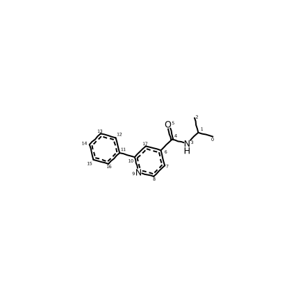 CC(C)NC(=O)c1ccnc(-c2ccccc2)c1